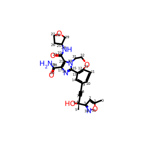 Cc1cc([C@](C)(O)C#Cc2ccc3c(c2)-c2nc(C(N)=O)c(C(=O)NC4CCOC4)n2CCO3)no1